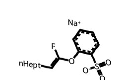 CCCCCCCC=C(F)Oc1ccccc1S(=O)(=O)[O-].[Na+]